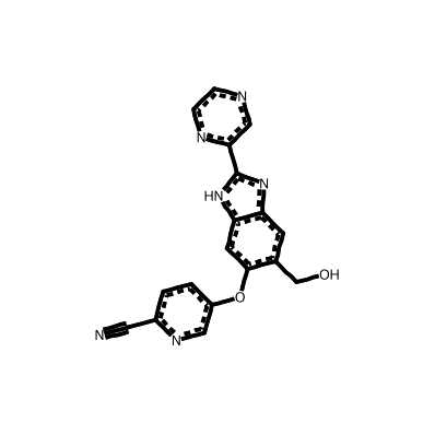 N#Cc1ccc(Oc2cc3[nH]c(-c4cnccn4)nc3cc2CO)cn1